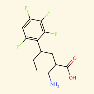 CCC(CC(CN)C(=O)O)c1c(F)cc(F)c(F)c1F